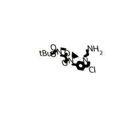 CC(C)(C)OC(=O)N1CCOC(C(=O)N(Cc2ccc3c(Cl)cn(CCCN)c3c2)C2CC2)C1